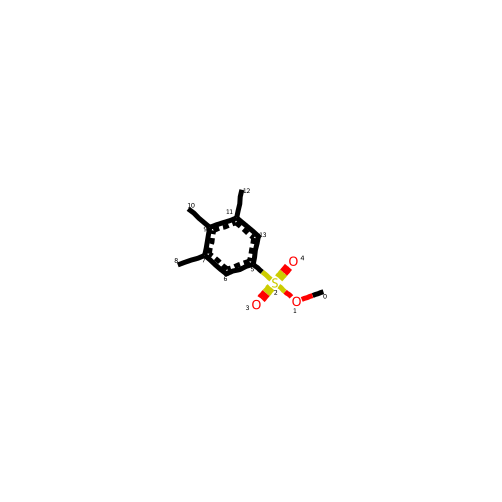 COS(=O)(=O)c1cc(C)c(C)c(C)c1